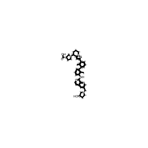 Cc1c(Nc2nccc3cc(CN4CC[C@@H](O)C4)cnc23)cccc1-c1cccc(-c2cc3n(n2)CCCC3N2CC[C@@H](C(=O)O)C2)c1C